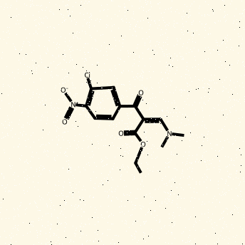 CCOC(=O)/C(=C\N(C)C)C(=O)c1ccc([N+](=O)[O-])c(Cl)c1